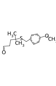 COc1ccc(CSC(C)(C)CCC=O)cc1